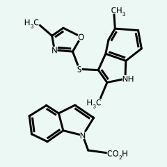 Cc1ccc2[nH]c(C)c(Sc3nc(C)co3)c2c1.O=C(O)Cn1ccc2ccccc21